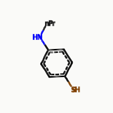 CCCNc1ccc(S)cc1